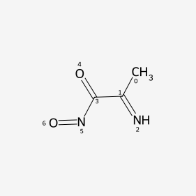 CC(=N)C(=O)N=O